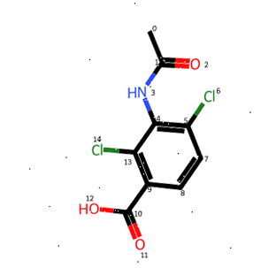 CC(=O)Nc1c(Cl)ccc(C(=O)O)c1Cl